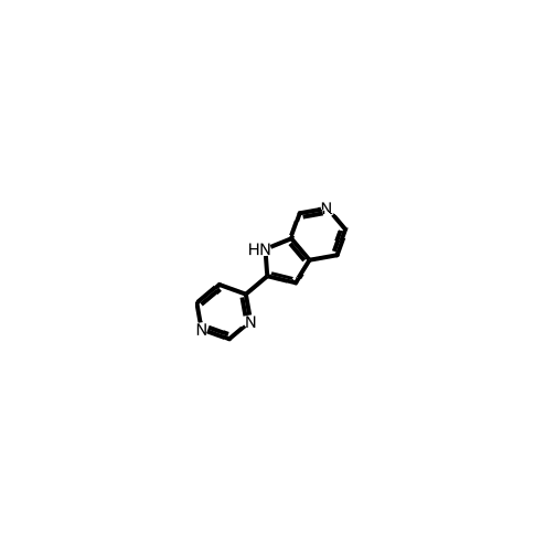 c1cc(-c2cc3ccncc3[nH]2)ncn1